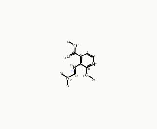 COC(=O)c1ccnc(OC)c1/N=C/N(C)C